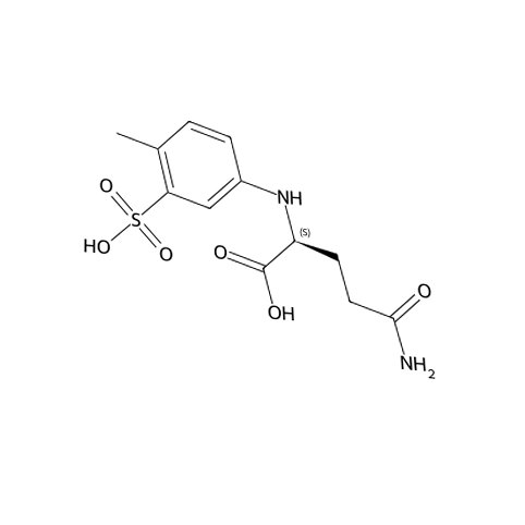 Cc1ccc(N[C@@H](CCC(N)=O)C(=O)O)cc1S(=O)(=O)O